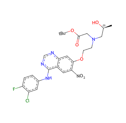 C[C@H](O)CN(CCOc1cc2ncnc(Nc3ccc(F)c(Cl)c3)c2cc1[N+](=O)[O-])CC(=O)OC(C)(C)C